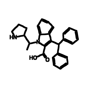 CC(C1CCCN1)n1c(C(=O)O)c(C(c2ccccc2)c2ccccc2)c2ccccc21